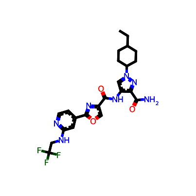 CCC1CCC(n2cc(NC(=O)c3coc(-c4ccnc(NCC(F)(F)F)c4)n3)c(C(N)=O)n2)CC1